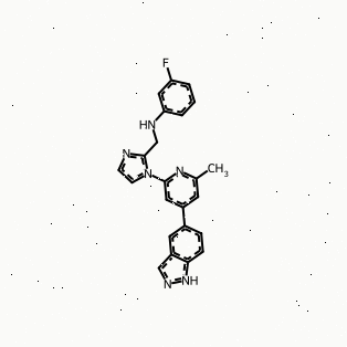 Cc1cc(-c2ccc3[nH]ncc3c2)cc(-n2ccnc2CNc2cccc(F)c2)n1